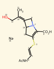 CC(=O)NC=CSC1=C(C(=O)O)N2CC(=C(C)CO)C2C1.[Na]